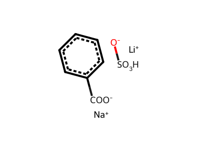 O=C([O-])c1ccccc1.O=S(=O)([O-])O.[Li+].[Na+]